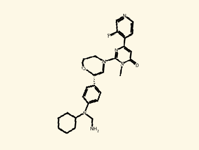 Cn1c(N2CCO[C@@H](c3ccc(N(CN)C4CCCCC4)cc3)C2)nc(-c2ccncc2F)cc1=O